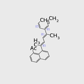 C=C/C=C(\C=C/C)C(/C)=C/C=C(\C)c1cccc2cccc(C(C)=O)c12